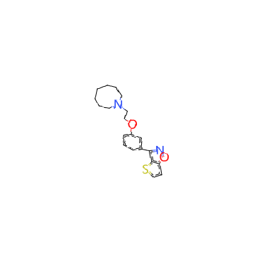 c1cc(OCCN2CCCCCCC2)cc(-c2noc3ccsc23)c1